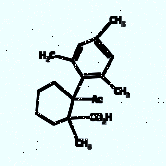 CC(=O)C1(c2c(C)cc(C)cc2C)CCCCC1(C)C(=O)O